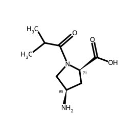 CC(C)C(=O)N1C[C@H](N)C[C@@H]1C(=O)O